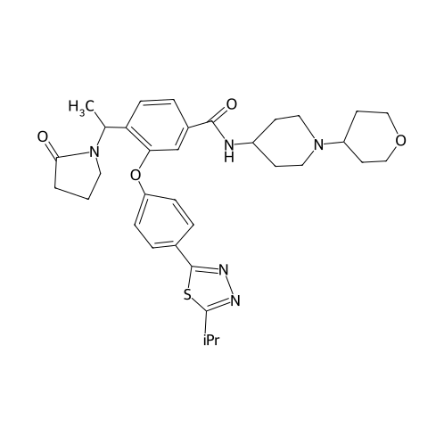 CC(C)c1nnc(-c2ccc(Oc3cc(C(=O)NC4CCN(C5CCOCC5)CC4)ccc3C(C)N3CCCC3=O)cc2)s1